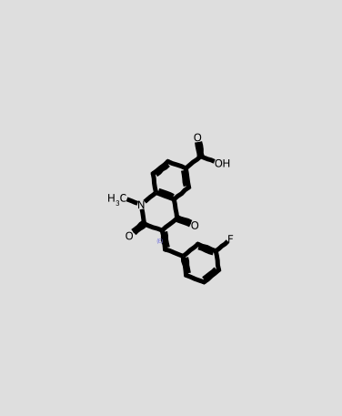 CN1C(=O)/C(=C/c2cccc(F)c2)C(=O)c2cc(C(=O)O)ccc21